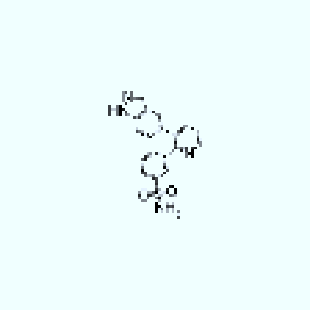 NS(=O)(=O)c1cccc(-c2ncccc2-c2ccc3[nH]ncc3c2)c1